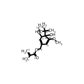 C=C(C)C(=O)OCC1=CC(OC)C(O)(C(C)(C)C)C(OC)=C1